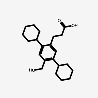 O=C(O)CCc1cc(C2CCCCC2)c(CO)cc1C1CCCCC1